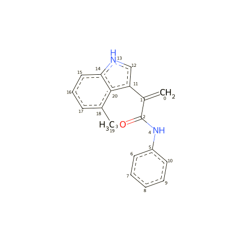 C=C(C(=O)Nc1ccccc1)c1c[nH]c2cccc(C)c12